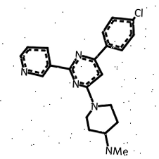 CNC1CCN(c2cc(-c3ccc(Cl)cc3)nc(-c3cccnc3)n2)CC1